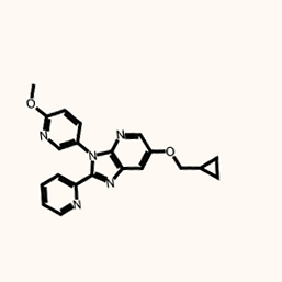 COc1ccc(-n2c(-c3ccccn3)nc3cc(OCC4CC4)cnc32)cn1